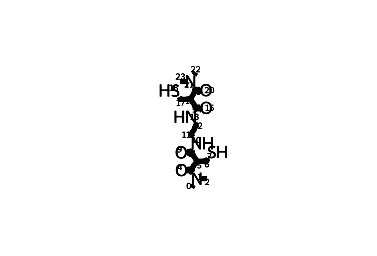 CN(C)C(=O)C(CS)C(=O)NCCNC(=O)C(CS)C(=O)N(C)C